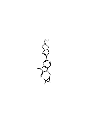 Cn1c(=O)n(CC2CC2(F)F)c2ccc(C3=CC4CN(C(=O)O)CC4C3)nc21